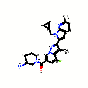 Cc1ccc2cc(-c3nn4cc(C(=O)N5CCCC(N)C5)cc(F)c4c3C)n(CC3CC3)c2n1